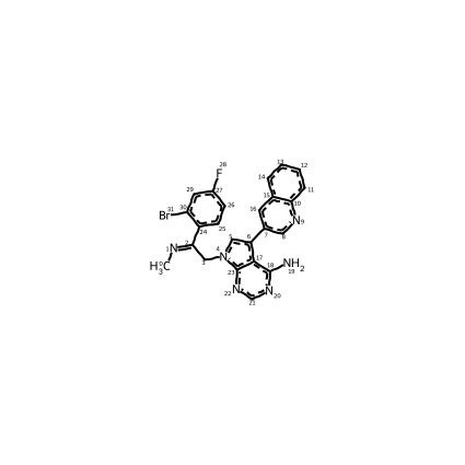 C/N=C(\Cn1cc(-c2cnc3ccccc3c2)c2c(N)ncnc21)c1ccc(F)cc1Br